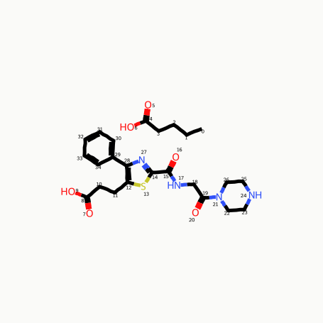 CCCCC(=O)O.O=C(O)CCc1sc(C(=O)NCC(=O)N2CCNCC2)nc1-c1ccccc1